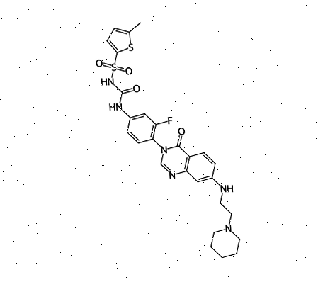 Cc1ccc(S(=O)(=O)NC(=O)Nc2ccc(-n3cnc4cc(NCCN5CCCCC5)ccc4c3=O)c(F)c2)s1